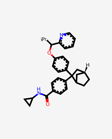 CC(C)C(Oc1ccc(C2(c3ccc(C(=O)NC4CC4)cc3)C[C@@H]3CCC2C3)cc1)c1ccccn1